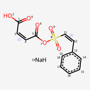 O=C(O)/C=C\C(=O)OS(=O)(=O)/C=C\c1ccccc1.[NaH]